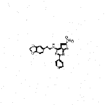 O=[N+]([O-])c1cc2c(NCCc3ccc4c(c3)OCO4)nc(-c3ccncc3)nc2s1